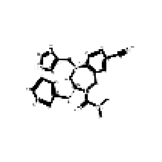 CN(C)C(=O)N1Cc2cc(C#N)ccc2N(Cc2c[nH]cn2)C[C@H]1Cc1cccnc1